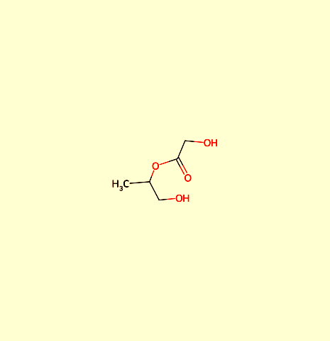 CC(CO)OC(=O)CO